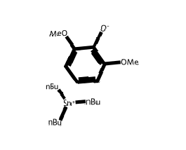 CCC[CH2][Sn+]([CH2]CCC)[CH2]CCC.COc1cccc(OC)c1[O-]